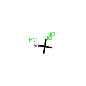 C[C](C)(C)[Sn].Cl.Cl.Cl